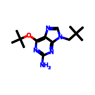 CC(C)(C)Cn1cnc2c(OC(C)(C)C)nc(N)nc21